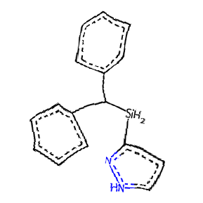 c1ccc(C([SiH2]c2cc[nH]n2)c2ccccc2)cc1